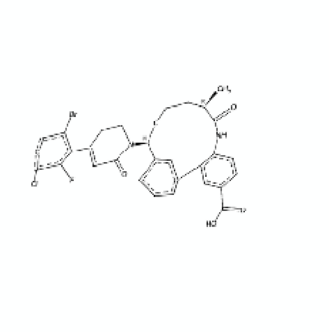 C[C@@H]1CCC[C@H](N2CCC(c3c(Br)ccc(Cl)c3F)=CC2=O)c2cccc(c2)-c2cc(C(=O)O)ccc2NC1=O